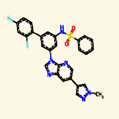 Cn1cc(-c2cnc3c(c2)ncn3-c2cc(NS(=O)(=O)c3ccccc3)cc(-c3ccc(F)cc3F)c2)cn1